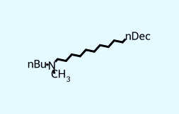 CCCCCCCCCCCCCCCCCCCCN(C)CCCC